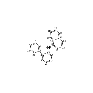 c1ccc(-c2ccccc2[N]c2cccc3ccccc23)cc1